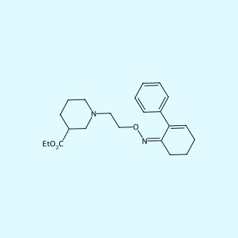 CCOC(=O)C1CCCN(CCON=C2CCCC=C2c2ccccc2)C1